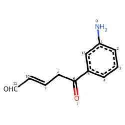 Nc1cccc(C(=O)CC=CC=O)c1